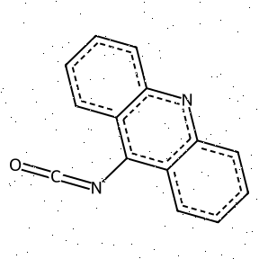 O=C=Nc1c2ccccc2nc2ccccc12